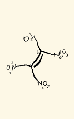 O=[N+]([O-])C(=C([N+](=O)[O-])[N+](=O)[O-])[N+](=O)[O-]